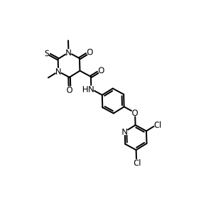 CN1C(=O)C(C(=O)Nc2ccc(Oc3ncc(Cl)cc3Cl)cc2)C(=O)N(C)C1=S